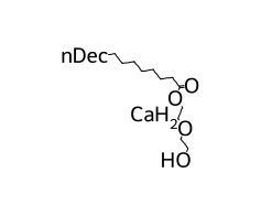 CCCCCCCCCCCCCCCCCC(=O)OCCOCCO.[CaH2]